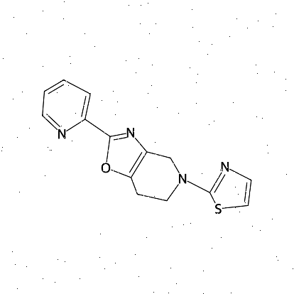 c1ccc(-c2nc3c(o2)CCN(c2nccs2)C3)nc1